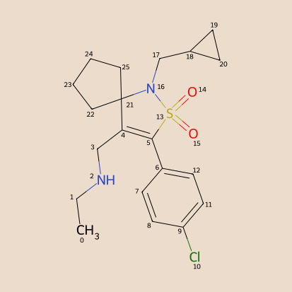 CCNCC1=C(c2ccc(Cl)cc2)S(=O)(=O)N(CC2CC2)C12CCCC2